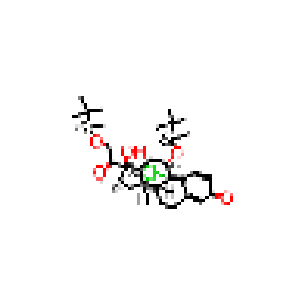 C[C@H]1C[C@H]2[C@@H]3CCC4=CC(=O)C=C[C@]4(C)[C@@]3(Cl)[C@@H](O[Si](C)(C)C(C)(C)C)C[C@]2(C)[C@@]1(O)C(=O)CO[Si](C)(C)C(C)(C)C